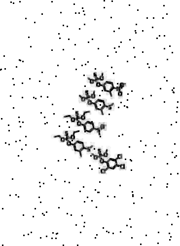 CCOP(=S)(OCC)Oc1ccc(SC)c(C)c1.CCOP(=S)(OCC)Oc1ccc([S+](C)[O-])cc1.COP(=S)(OC)Oc1cc(Cl)c(Cl)cc1Cl.COP(=S)(OC)Oc1ccc(SC)c(C)c1.COP(=S)(OC)Oc1ccc([N+](=O)[O-])c(C)c1